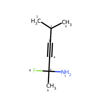 CC(C)C#CC(C)(N)F